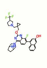 Oc1cc(-c2ccc3c(N4CC5CCC(C4)N5)nc(OCC4(CN5CCC(C(F)(F)F)C5)CC4)nc3c2F)c2ccccc2c1